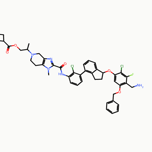 CC(COC(=O)C1CCC1)N1CCc2c(nc(C(=O)Nc3cccc(-c4cccc5c4CCC5Oc4cc(OCc5ccccc5)c(CN)c(F)c4Cl)c3Cl)n2C)C1